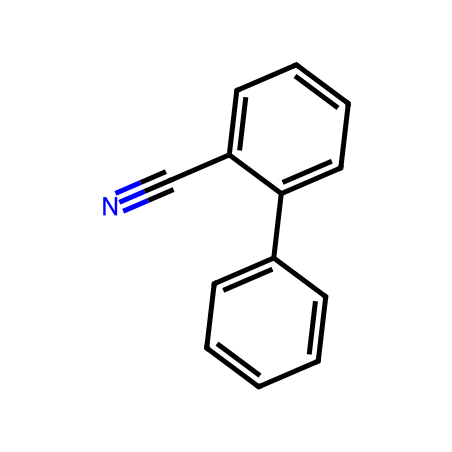 N#Cc1ccccc1-c1ccccc1